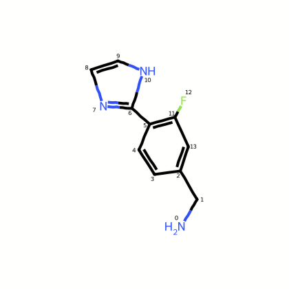 NCc1ccc(-c2ncc[nH]2)c(F)c1